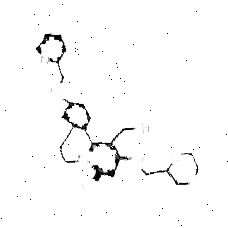 CCc1c(OCC2COCCO2)cc(=O)n2c1-c1ccc(OCc3ccccn3)cc1CC2